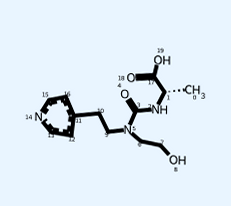 C[C@H](NC(=O)N(CCO)CCc1ccncc1)C(=O)O